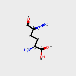 [N-]=[N+]=C(C=O)CC[C@H](N)C(=O)O